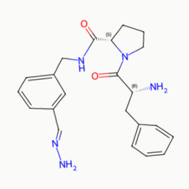 NN=Cc1cccc(CNC(=O)[C@@H]2CCCN2C(=O)[C@H](N)Cc2ccccc2)c1